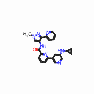 Cn1cc(NC(=O)c2cccc(-c3cncc(NC4CC4)c3)n2)c(-c2ccccn2)n1